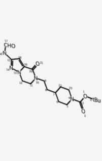 CC(C)(C)OC(=O)N1CCC(CCN2CCn3nc([N]C=O)cc3C2=O)CC1